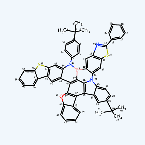 CC(C)(C)c1ccc(N2B3c4cc5nc(-c6ccccc6)sc5cc4-n4c5ccc(C(C)(C)C)cc5c5c6c(oc7ccccc76)c(c3c54)-c3cc4c(cc32)sc2ccccc24)cc1